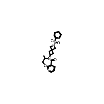 CC1COc2ncccc2C(=O)N1C1CC2(C1)CN(S(=O)(=O)c1ccccc1)C2